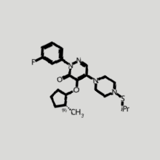 CC(C)SN1CCN(c2cnn(-c3cccc(F)c3)c(=O)c2OC2CCC[C@H]2C)CC1